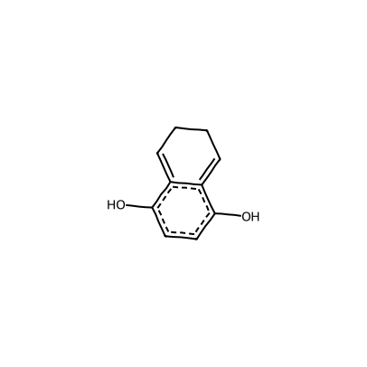 Oc1ccc(O)c2c1=CCCC=2